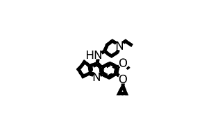 CCN1CCC(Nc2c3c(nc4cc(OC5CC5)c(OC)cc24)CCC3)CC1